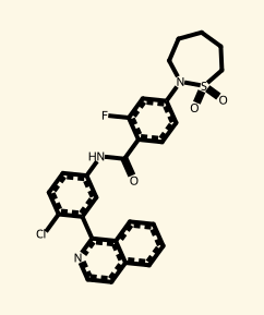 O=C(Nc1ccc(Cl)c(-c2nccc3ccccc23)c1)c1ccc(N2CCCCCS2(=O)=O)cc1F